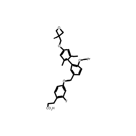 Cc1cc(OCC2(C)COC2)cc(C)c1-c1cc(COc2ccc(CCC(=O)O)c(F)c2)ccc1OC(C)C